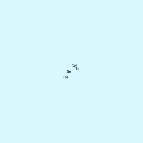 [Ge].[Se].[Te].[Te]